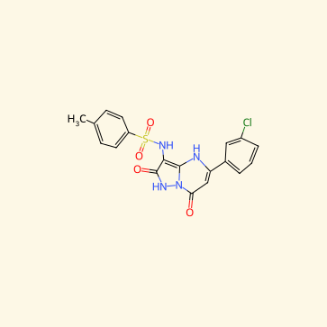 Cc1ccc(S(=O)(=O)Nc2c(=O)[nH]n3c(=O)cc(-c4cccc(Cl)c4)[nH]c23)cc1